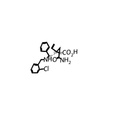 C=C[C@@]1(C[C@H](NCc2ccccc2Cl)c2ccccc2)C[C@]1(C(N)=O)C(=O)O